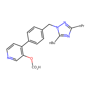 CCCCc1nc(CCC)nn1Cc1ccc(-c2ccncc2OC(=O)O)cc1